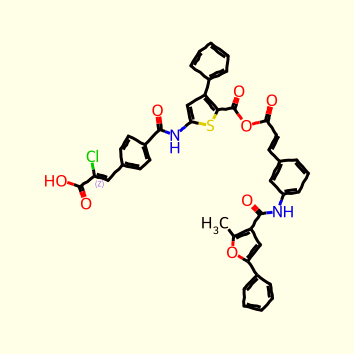 Cc1oc(-c2ccccc2)cc1C(=O)Nc1cccc(C=CC(=O)OC(=O)c2sc(NC(=O)c3ccc(/C=C(\Cl)C(=O)O)cc3)cc2-c2ccccc2)c1